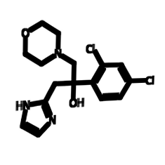 OC(Cc1ncc[nH]1)(CN1CCOCC1)c1ccc(Cl)cc1Cl